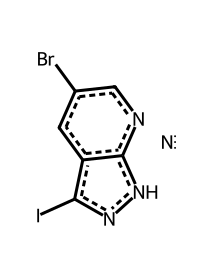 Brc1cnc2[nH]nc(I)c2c1.[N]